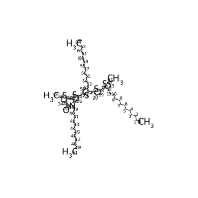 CCCCCCCCCCCCc1cc(C)sc1-c1ccc(-c2sc(-c3cc4c(s3)c3sc(C)cc3c(=O)n4CCCCCCCCCCCC)cc2CCCCCCCCCCCC)s1